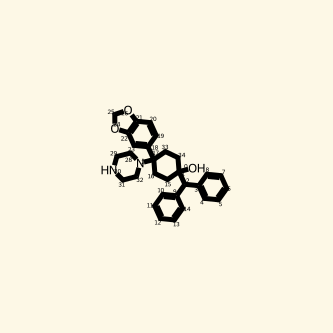 OC1(C(c2ccccc2)c2ccccc2)CCC(c2ccc3c(c2)OCO3)(N2CCNCC2)CC1